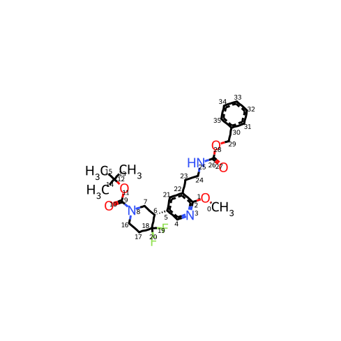 COc1ncc([C@H]2CN(C(=O)OC(C)(C)C)CCC2(F)F)cc1CCNC(=O)OCc1ccccc1